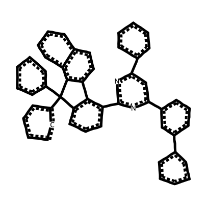 c1ccc(-c2cccc(-c3cc(-c4ccccc4)nc(-c4cccc5c4-c4ccc6ccccc6c4C5(c4ccccc4)c4ccccc4)n3)c2)cc1